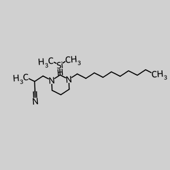 CCCCCCCCCCN1CCCN(CC(C)C#N)C1[SiH](C)C